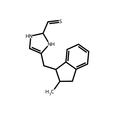 CC1Cc2ccccc2C1CC1=CNC(C=S)N1